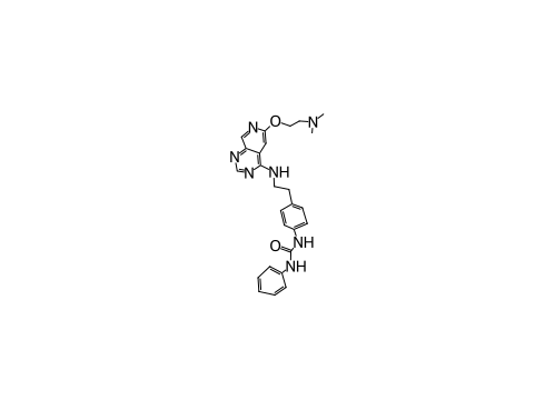 CN(C)CCOc1cc2c(NCCc3ccc(NC(=O)Nc4ccccc4)cc3)ncnc2cn1